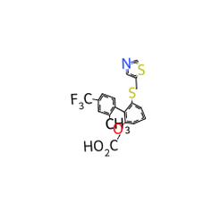 Cc1cc(C(F)(F)F)ccc1-c1c(OCC(=O)O)cccc1SCc1cncs1